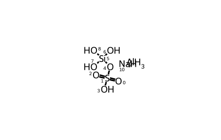 O=S(=O)(O)O[Si](O)(O)O.[AlH3].[NaH]